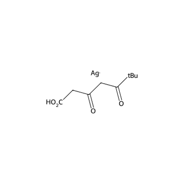 CC(C)(C)C(=O)CC(=O)CC(=O)O.[Ag]